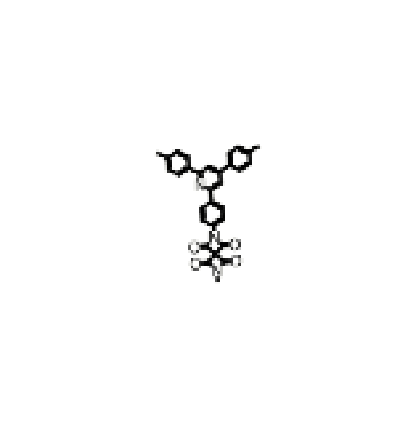 Cc1ccc(-c2cc(-c3ccc(C)cc3)nc(-c3ccc(N4C(=O)C5(C(=O)N(C)C5=O)C4=O)cc3)c2)cc1